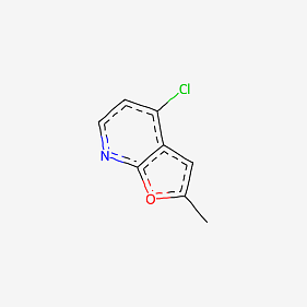 Cc1cc2c(Cl)ccnc2o1